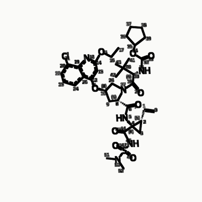 C=C[C@@H]1C[C@]1(NC(=O)[C@@H]1C[C@@H](Oc2cc(OCC)nc3c(Cl)cccc23)CN1C(=O)[C@@H](NC(=O)OC1CCCC1)C(C)(C)C)C(=O)NS(=O)(=O)N(C)C